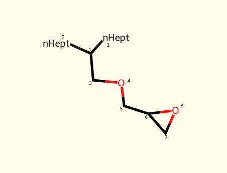 CCCCCCCC(CCCCCCC)COCC1CO1